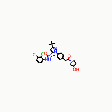 CC(C)(C)c1cc(NC(=O)Nc2cccc(Cl)c2Cl)n(-c2ccc(CC(=O)N3CCC(O)C3)cc2)n1